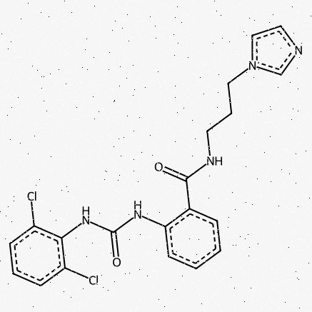 O=C(Nc1ccccc1C(=O)NCCCn1ccnc1)Nc1c(Cl)cccc1Cl